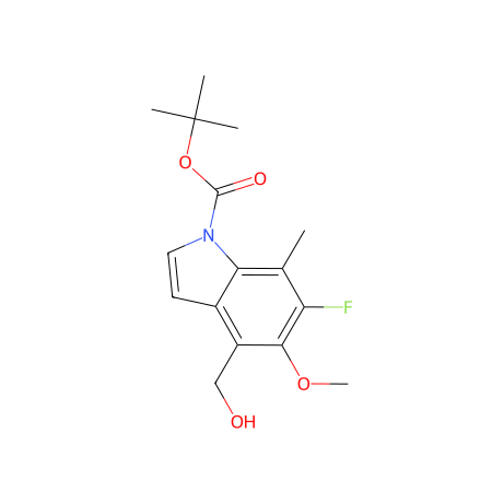 COc1c(F)c(C)c2c(ccn2C(=O)OC(C)(C)C)c1CO